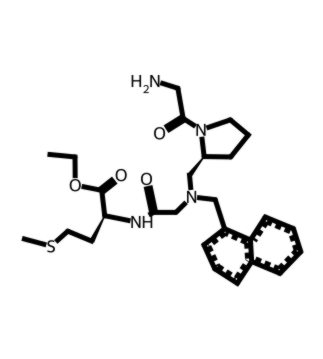 CCOC(=O)[C@H](CCSC)NC(=O)CN(Cc1cccc2ccccc12)C[C@@H]1CCCN1C(=O)CN